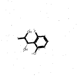 CC(O)[C@@H](O)c1c(F)cccc1Cl